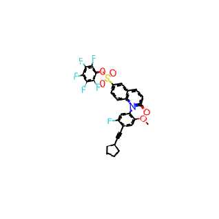 COc1cc(C#CC2CCCC2)c(F)cc1-n1c(=O)ccc2cc(S(=O)(=O)Oc3c(F)c(F)c(F)c(F)c3F)ccc21